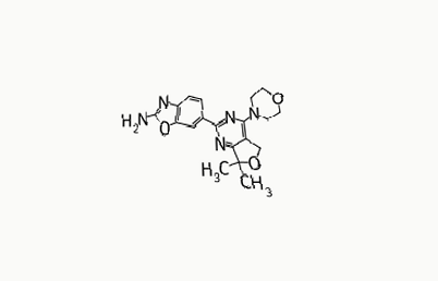 CC1(C)OCc2c(N3CCOCC3)nc(-c3ccc4nc(N)oc4c3)nc21